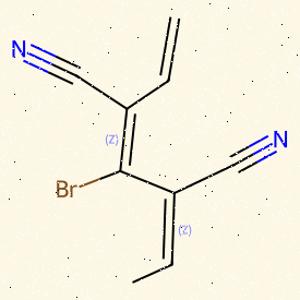 C=C/C(C#N)=C(Br)\C(C#N)=C/C